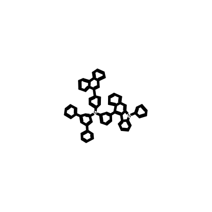 c1ccc(-c2cc(-c3ccccc3)cc(N(c3ccc(-c4cc5ccccc5c5ccccc45)cc3)c3cccc(-c4c5ccccc5cc5c4c4ccccc4n5-c4ccccc4)c3)c2)cc1